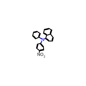 O=[N+]([O-])c1ccc(N(c2ccccc2)c2cccc3ccccc23)cc1